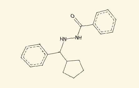 O=C(NNC(c1ccccc1)C1CCCC1)c1ccccc1